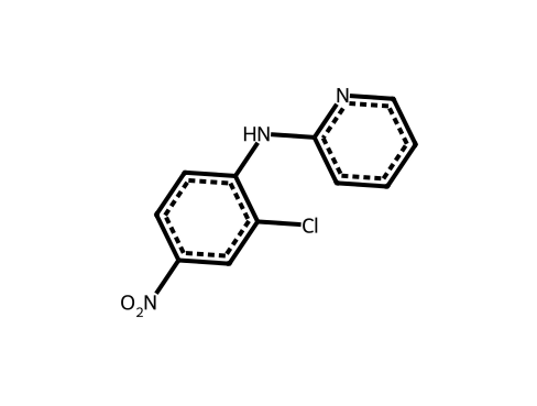 O=[N+]([O-])c1ccc(Nc2ccccn2)c(Cl)c1